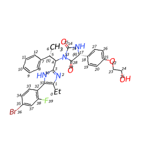 CCc1nc(C([C@@H](C)c2ccccc2)N2C(=O)N[C@H](c3ccc(OCCO)cc3)C2=O)[nH]c1-c1ccc(Br)cc1F